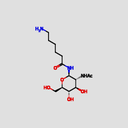 CC(=O)N[C@@H]1[C@@H](O)[C@H](O)[C@@H](CO)O[C@H]1NC(=O)CCCCCN